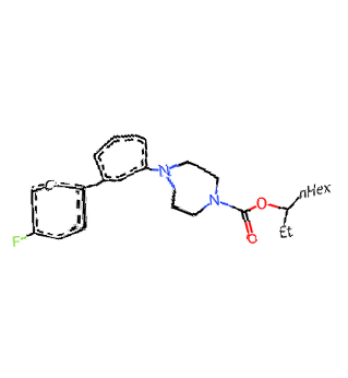 CCCCCCC(CC)OC(=O)N1CCN(c2cccc(-c3ccc(F)cc3)c2)CC1